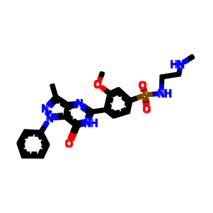 CNCCNS(=O)(=O)c1ccc(-c2nc3c(C)nn(-c4ccccc4)c3c(=O)[nH]2)c(OC)c1